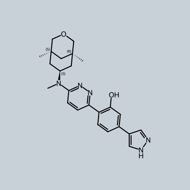 CN(c1ccc(-c2ccc(-c3cn[nH]c3)cc2O)nn1)[C@@H]1C[C@]2(C)COC[C@](C)(C1)C2